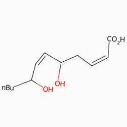 CCCCC(O)/C=C\C(O)C/C=C\C(=O)O